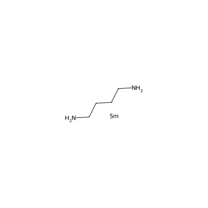 NCCCCN.[Sm]